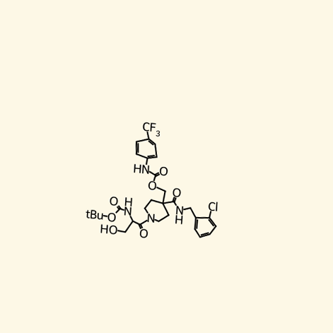 CC(C)(C)OC(=O)NC(CO)C(=O)N1CCC(COC(=O)Nc2ccc(C(F)(F)F)cc2)(C(=O)NCc2ccccc2Cl)CC1